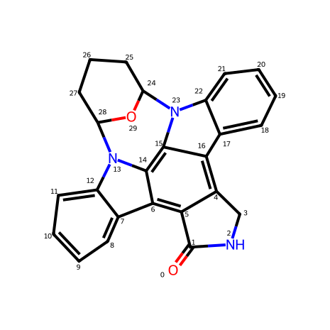 O=C1NCc2c1c1c3ccccc3n3c1c1c2c2ccccc2n1C1CCCC3O1